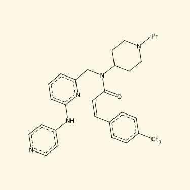 CC(C)N1CCC(N(Cc2cccc(Nc3ccncc3)n2)C(=O)C=Cc2ccc(C(F)(F)F)cc2)CC1